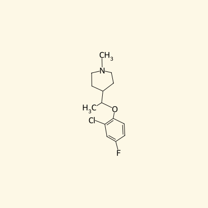 CC(Oc1ccc(F)cc1Cl)C1CCN(C)CC1